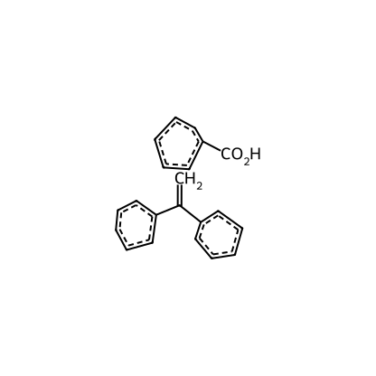 C=C(c1ccccc1)c1ccccc1.O=C(O)c1ccccc1